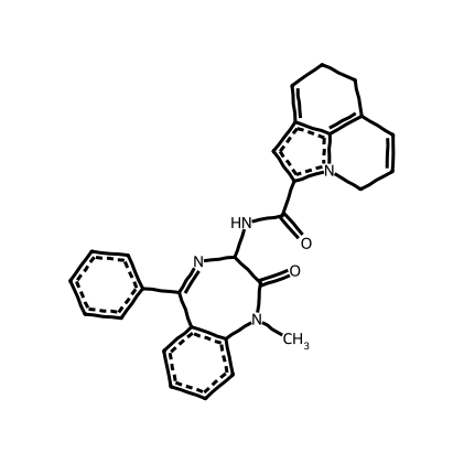 CN1C(=O)C(NC(=O)c2cc3c4n2CC=CC=4CCC=3)N=C(c2ccccc2)c2ccccc21